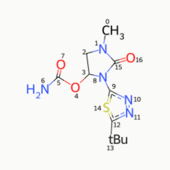 CN1CC(OC(N)=O)N(c2nnc(C(C)(C)C)s2)C1=O